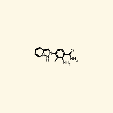 Cc1c(N2C=C3C=CC=CN3N2)ccc(C(N)=O)c1N